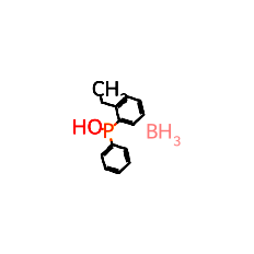 B.CCc1ccccc1P(O)c1ccccc1